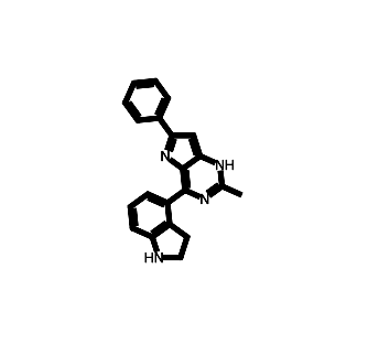 Cc1nc(-c2cccc3c2CCN3)c2nc(-c3ccccc3)cc-2[nH]1